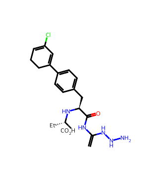 C=C(NNN)NC(=O)[C@H](Cc1ccc(C2=CC(Cl)=CCC2)cc1)N[C@@H](CC)C(=O)O